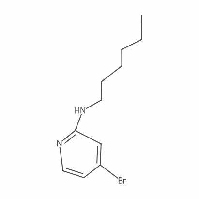 CCCCCCNc1cc(Br)ccn1